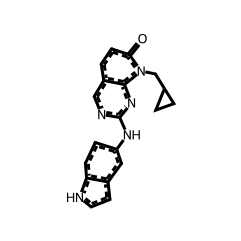 O=c1ccc2cnc(Nc3ccc4[nH]ccc4c3)nc2n1CC1CC1